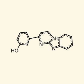 Oc1cccc(-c2ccn3c(n2)nc2ccccc23)c1